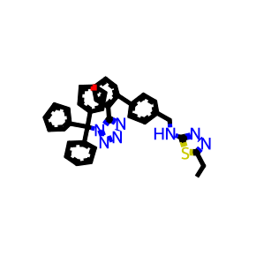 CCc1nnc(NCc2ccc(-c3ccccc3-c3nnnn3C(c3ccccc3)(c3ccccc3)c3ccccc3)cc2)s1